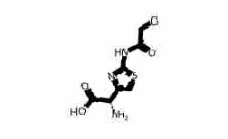 N[C@H](C(=O)O)c1csc(NC(=O)CCl)n1